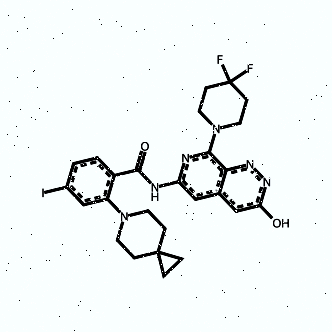 O=C(Nc1cc2cc(O)nnc2c(N2CCC(F)(F)CC2)n1)c1ccc(I)cc1N1CCC2(CC1)CC2